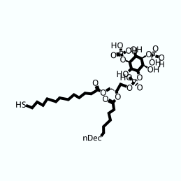 CCCCCCCCCCCCCCCC(=O)O[C@H](COC(=O)CCCCCCCCCCCS)COP(=O)(O)OC1C(O)[C@@H](OP(=O)(O)O)C(O)[C@@H](OP(=O)(O)O)[C@H]1O